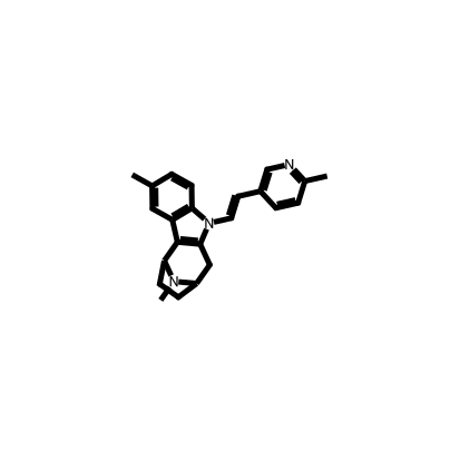 Cc1ccc2c(c1)c1c(n2/C=C/c2ccc(C)nc2)CC2CCC1N2C